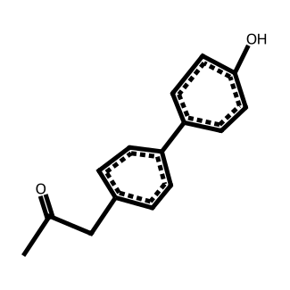 CC(=O)Cc1ccc(-c2ccc(O)cc2)cc1